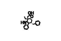 CC[C@@]1(CC(=O)O)CC[C@H](Cc2ccccc2)c2c1[nH]c1ccccc21